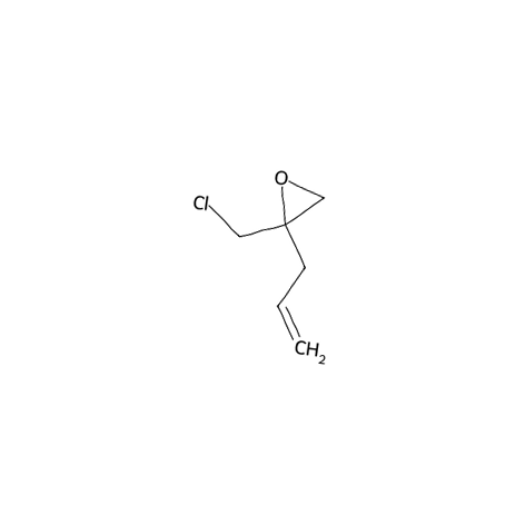 C=CCC1(CCl)CO1